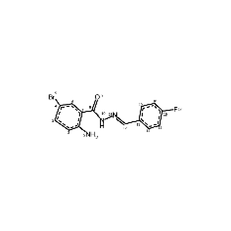 Nc1ccc(Br)cc1C(=O)NN=Cc1ccc(F)cc1